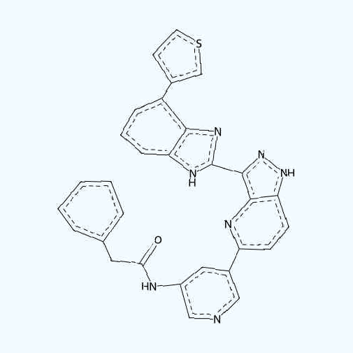 O=C(Cc1ccccc1)Nc1cncc(-c2ccc3[nH]nc(-c4nc5c(-c6ccsc6)cccc5[nH]4)c3n2)c1